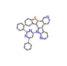 c1ccc(-c2cc(-n3c4ncccc4c4c5ccncc5c5sc6ccccc6c5c43)nc(-c3ccccc3)n2)cc1